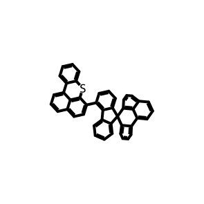 c1ccc2c(c1)Sc1c(-c3cccc4c3-c3ccccc3C43c4ccccc4-c4cccc5cccc3c45)ccc3cccc-2c13